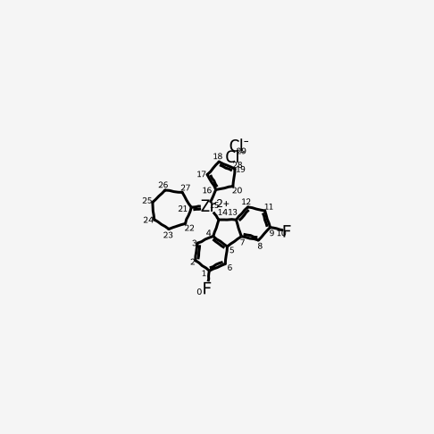 Fc1ccc2c(c1)-c1cc(F)ccc1[CH]2[Zr+2]([C]1=CC=CC1)=[C]1CCCCCC1.[Cl-].[Cl-]